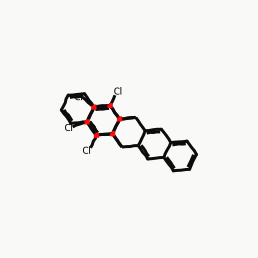 ClC1=C(Cl)C2C(C(Cl)=C1Cl)C1c3cc4ccccc4cc3C2C2C=c3ccccc3=CC21